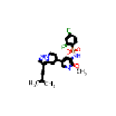 COc1ncc(-c2ccn3ncc(C#CC(C)C)c3c2)cc1NS(=O)(=O)c1ccc(F)cc1F